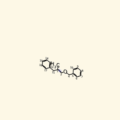 C/C(=C\OCc1ccccc1)Cc1ccccc1